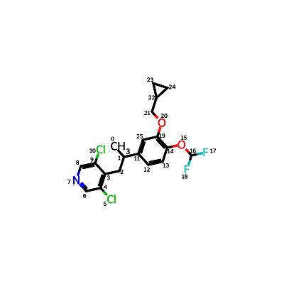 CC(Cc1c(Cl)cncc1Cl)c1ccc(OC(F)F)c(OCC2CC2)c1